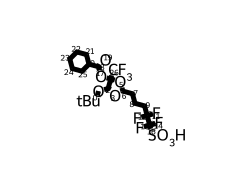 CC(C)(C)OC(=O)C(OCCCCC(F)(F)C(F)(F)S(=O)(=O)O)(OC(=O)C1CCCCC1)C(F)(F)F